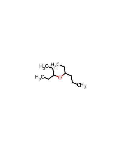 CCCC(CC)OC(CC)CC